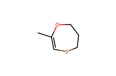 CC1=CSCCCO1